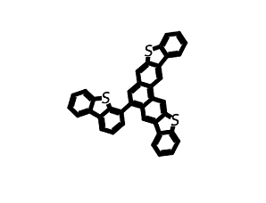 c1ccc2c(c1)sc1cc3c(cc12)c(-c1cccc2c1sc1ccccc12)cc1cc2sc4ccccc4c2cc13